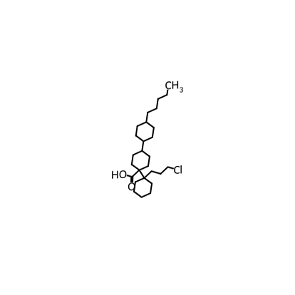 CCCCCC1CCC(C2CCC(C(=O)O)(C3(CCCCl)CCCCC3)CC2)CC1